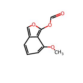 COc1cccc2coc(OC=O)c12